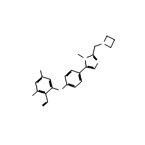 Cn1c(-c2ccc(Oc3cc(Cl)cc(F)c3C=O)cc2)cnc1CN1CCC1